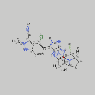 Cc1nc2c(-c3ccc4nn(C)c(C#N)c4c3Cl)n[nH]c2nc1N1[C@H]2CC[C@@H]1[C@@H](F)[C@@H](N)C2